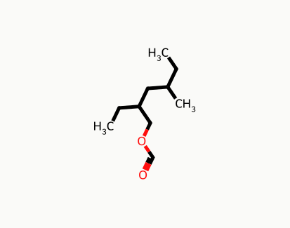 CCC(C)CC(CC)COC=O